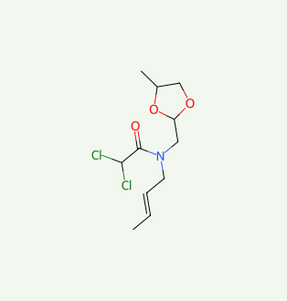 C/C=C/CN(CC1OCC(C)O1)C(=O)C(Cl)Cl